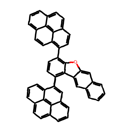 c1ccc2cc3c(cc2c1)oc1c(-c2ccc4ccc5cccc6ccc2c4c56)ccc(-c2cc4cccc5ccc6cccc2c6c54)c13